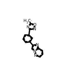 [CH2]c1nc(-c2cccc(-c3cn4ncccc4n3)c2)no1